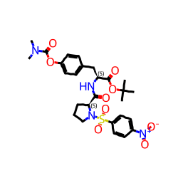 CN(C)C(=O)Oc1ccc(C[C@H](NC(=O)[C@@H]2CCCN2S(=O)(=O)c2ccc([N+](=O)[O-])cc2)C(=O)OC(C)(C)C)cc1